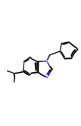 CC(C)c1ccc2c(c1)ncn2Cc1ccccc1